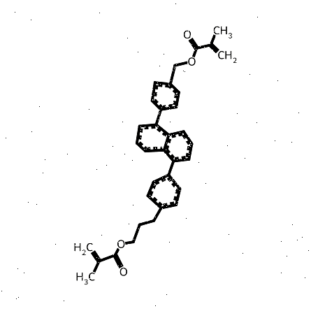 C=C(C)C(=O)OCCCc1ccc(-c2cccc3c(-c4ccc(COC(=O)C(=C)C)cc4)cccc23)cc1